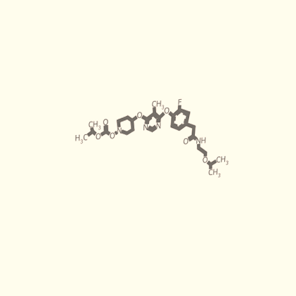 Cc1c(Oc2ccc(CC(=O)NCCOC(C)C)cc2F)ncnc1OC1CCN(OC(=O)OC(C)C)CC1